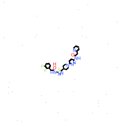 O=C(Cc1ccccn1)Nc1ccc(N2CCC(c3nnc(NC(O)Cc4cccc(F)c4F)s3)CC2)nn1